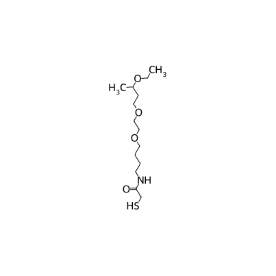 CCOC(C)CCOCCOCCCCNC(=O)CS